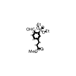 CCOP(=O)(OCC)c1cc(CCC(=O)OC)ccc1C=O